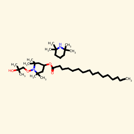 CC1(C)CCCC(C)(C)N1.CCCCCCCCCCCCCCCC(=O)OC1CC(C)(C)N(OCC(C)(C)O)C(C)(C)C1